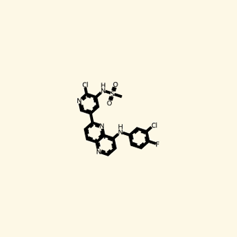 CS(=O)(=O)Nc1cc(-c2ccc3nccc(Nc4ccc(F)c(Cl)c4)c3n2)cnc1Cl